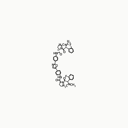 CN(C)C(C(=O)N1CCC[C@H]1C(=O)Nc1ccc(-c2cnc(-c3ccc(NC(=O)[C@@H]4CCCN4C(=O)C(c4ccccc4F)N(C)C)cc3)o2)cc1)c1ccccc1F